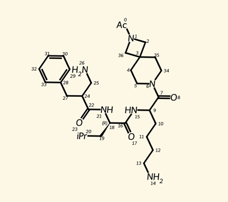 CC(=O)N1CC2(CCN(C(=O)C(CCCCN)NC(=O)[C@@H](CC(C)C)NC(=O)C(CN)Cc3ccccc3)CC2)C1